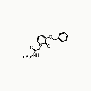 CCCCNC(=O)Cn1cccc(OCc2ccccc2)c1=O